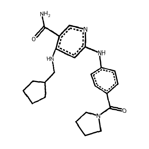 NC(=O)c1cnc(Nc2ccc(C(=O)N3CCCC3)cc2)cc1NCC1CCCC1